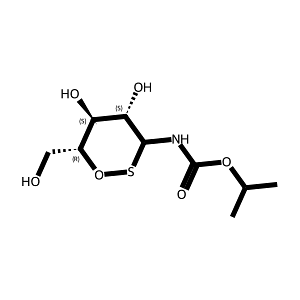 CC(C)OC(=O)NC1SO[C@H](CO)[C@@H](O)[C@@H]1O